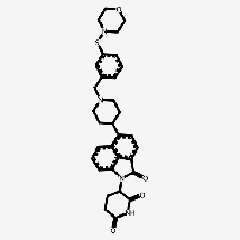 O=C1CCC(N2C(=O)c3ccc(C4CCN(Cc5cccc(SN6CCOCC6)c5)CC4)c4cccc2c34)C(=O)N1